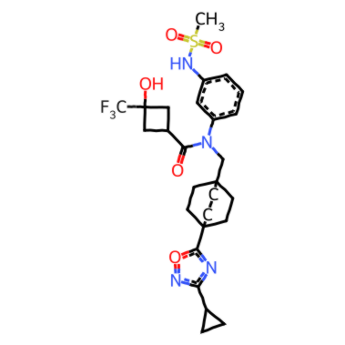 CS(=O)(=O)Nc1cccc(N(CC23CCC(c4nc(C5CC5)no4)(CC2)CC3)C(=O)C2CC(O)(C(F)(F)F)C2)c1